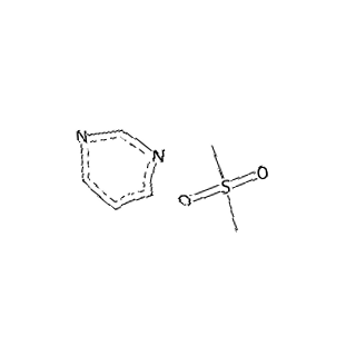 CS(C)(=O)=O.c1cncnc1